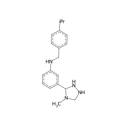 CC(C)c1ccc(CNc2cccc(C3NNCN3C)c2)cc1